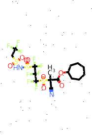 CC(C#N)(C(=O)OC1CCCCCC1)S(=O)(=O)C(F)(F)C(F)(F)C(F)(F)S(=O)(=O)NS(=O)(=O)CC(F)(F)F